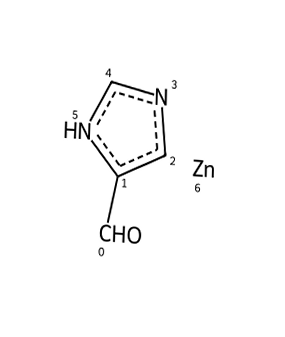 O=Cc1cnc[nH]1.[Zn]